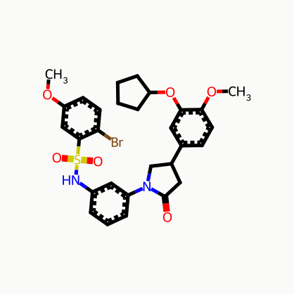 COc1ccc(Br)c(S(=O)(=O)Nc2cccc(N3CC(c4ccc(OC)c(OC5CCCC5)c4)CC3=O)c2)c1